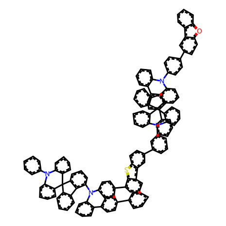 c1ccc(-c2ccc(-c3ccccc3N(c3ccc(-c4cccc5c4sc4ccc(-c6cccc(N7c8ccccc8C8(c9ccccc9-c9c(N(c%10ccc(-c%11ccc%12oc%13ccccc%13c%12c%11)cc%10)c%10ccccc%10-c%10ccc(-c%11ccccc%11)cc%10)cccc98)c8ccccc87)c6)cc45)cc3)c3cccc4c3-c3ccccc3C43c4ccccc4N(c4ccccc4)c4ccccc43)cc2)cc1